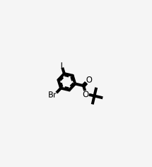 CC(C)(C)OC(=O)c1cc(Br)cc(I)c1